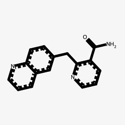 NC(=O)c1cccnc1Cc1ccc2ncccc2c1